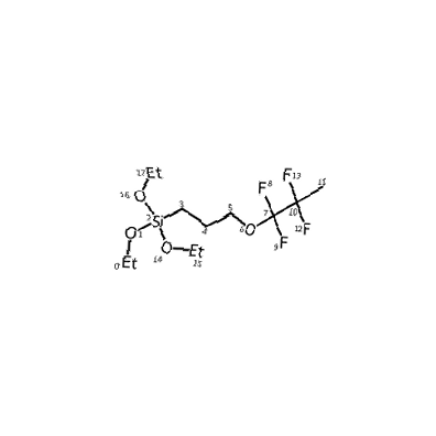 CCO[Si](CCCOC(F)(F)C(C)(F)F)(OCC)OCC